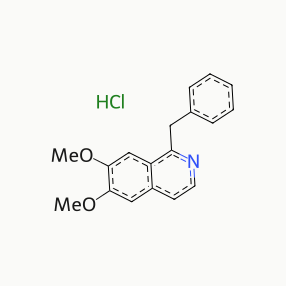 COc1cc2ccnc(Cc3ccccc3)c2cc1OC.Cl